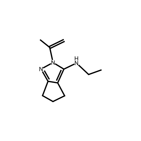 C=C(C)n1nc2c(c1NCC)CCC2